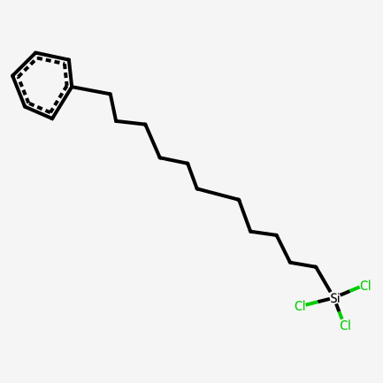 Cl[Si](Cl)(Cl)CCCCCCCCCCCc1ccccc1